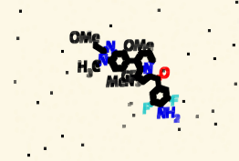 CNc1cc(C(=O)c2cc(F)c(N)c(F)c2)n2cccc(-c3c(C(F)(F)F)cc4c(nc(COC)n4C)c3OC)c12